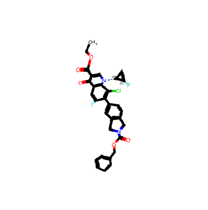 CCOC(=O)c1cn([C@@H]2C[C@@H]2F)c2c(Cl)c(-c3ccc4c(c3)CN(C(=O)OCc3ccccc3)C4)c(F)cc2c1=O